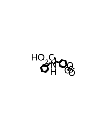 CS(=O)(=O)Oc1ccc(C(CC(=O)O)NCc2ccccc2)cc1